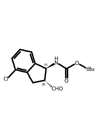 CC(C)(C)OC(=O)N[C@@H]1c2cccc(Cl)c2C[C@H]1C=O